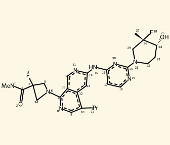 CNC(=O)C1(F)CN(c2ncc(C(C)C)c3cc(Nc4ccnc(N5CC[C@@H](O)[C@@](C)(F)C5)n4)ncc23)C1